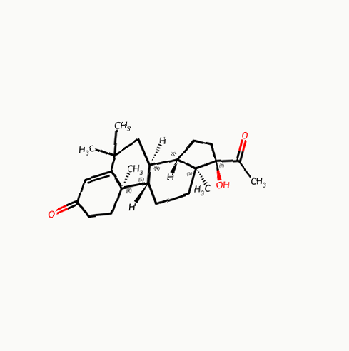 CC(=O)[C@@]1(O)CC[C@H]2[C@@H]3CC(C)(C)C4=CC(=O)CC[C@]4(C)[C@H]3CC[C@@]21C